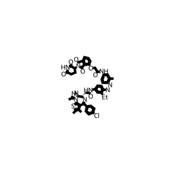 CCc1cc(NC(=O)C[C@@H]2N=C(c3ccc(Cl)cc3)c3c(sc(C)c3C)-n3c(C)nnc32)ccc1/N=N\c1ccc(NC(=O)COc2cccc3c2C(=O)N(C2CCC(=O)NC2=O)C3=O)cc1C